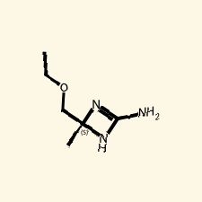 CCOC[C@]1(C)N=C(N)N1